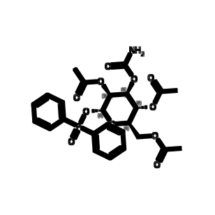 CC(=O)OC[C@H]1O[C@H](OP(=O)(c2ccccc2)c2ccccc2)[C@@H](OC(C)=O)[C@@H](OC(N)=O)[C@@H]1OC(C)=O